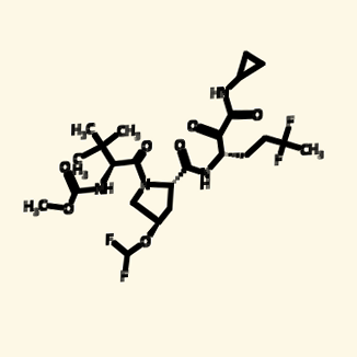 COC(=O)N[C@H](C(=O)N1C[C@H](OC(F)F)C[C@H]1C(=O)N[C@@H](CCC(C)(F)F)C(=O)C(=O)NC1CC1)C(C)(C)C